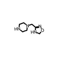 C1CN(CC2=NOCN2)CCN1